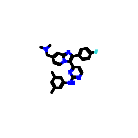 Cc1cc(C)cc(Nc2nccc(-c3c(-c4ccc(F)cc4)nc4cc(CN(C)C)ccn34)n2)c1